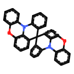 c1ccc2c(c1)Oc1cccc3c1N2c1ccccc1C31c2ccccc2N2c3ccccc3Oc3cccc1c32